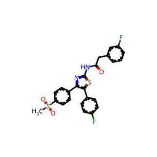 CS(=O)(=O)c1ccc(-c2nc(NC(=O)Cc3cccc(F)c3)sc2-c2ccc(F)cc2)cc1